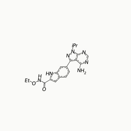 CCONC(=O)c1cc2ccc(-c3nn(C(C)C)c4ncnc(N)c34)cc2[nH]1